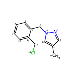 Cc1cnn(Cc2ccccc2CCl)c1